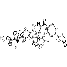 CC(C)N1CCC(c2ccc(Nc3nccc(-c4c(-c5cccc(NC(=O)N(C)C)c5)nc5ccccn45)n3)cc2)C1